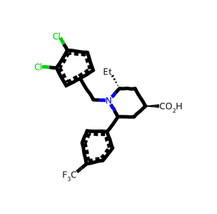 CC[C@@H]1C[C@@H](C(=O)O)CC(c2ccc(C(F)(F)F)cc2)N1Cc1ccc(Cl)c(Cl)c1